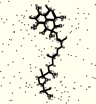 C/C(=C\CC1(O)C(=O)c2c(O)cc(C)c3c(O)c(C)c(O)c(c23)C1=O)CC/C=C(\C)CCC(O)C1(C)CCC(C(C)(C)O)O1